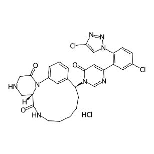 Cl.O=C1NCCCCC[C@H](n2cnc(-c3cc(Cl)ccc3-n3cc(Cl)nn3)cc2=O)c2cccc(c2)N2C(=O)CNC[C@@H]12